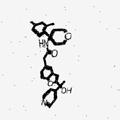 Cc1ccc(C2(NC(=O)Cc3ccc4oc(C(C)(O)c5ccncc5)cc4c3)CCOCC2)c(C)c1